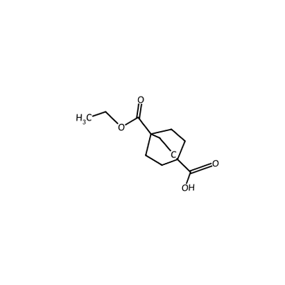 CCOC(=O)C12CCC(C(=O)O)(CC1)CC2